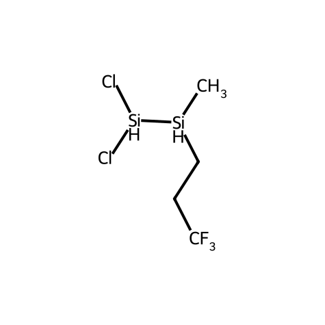 C[SiH](CCC(F)(F)F)[SiH](Cl)Cl